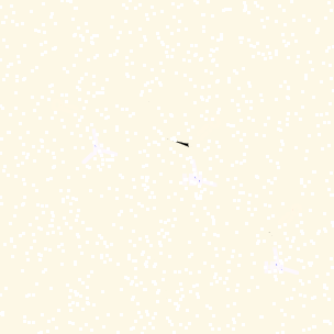 CNC(=O)CCNC(=O)[C@@H]1c2ccccc2C(=O)N(C2CCCC2)[C@H]1c1ccc(Cl)cc1